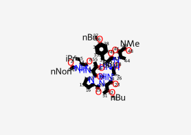 CCCCCCCCCC(=O)N[C@@H](CC(C)C)C(=O)N[C@H](C(=O)N1CCC[C@@H]1C(=O)N[C@H](C(=O)N[C@@H](C)C(=O)N[C@@H](Cc1ccc(OCCCC)cc1)C(=O)NC(C)C(=O)C(=O)NC)C(C)OCCCC)C(C)OCCCC